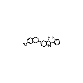 COc1ccc2c(c1)CC(N1CCc3nc(-c4ccccc4F)[nH]c3C1)CC2